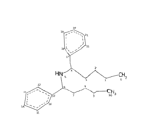 CCCCC(NC(CCCC)c1ccccc1)c1ccccc1